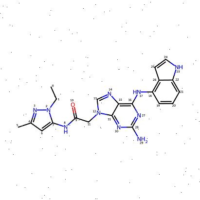 CCn1nc(C)cc1NC(=O)Cn1cnc2c(Nc3cccc4[nH]ccc34)nc(N)nc21